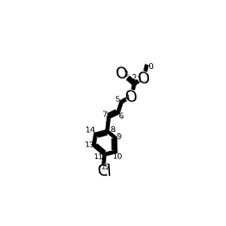 COC(=O)OCC=Cc1ccc(Cl)cc1